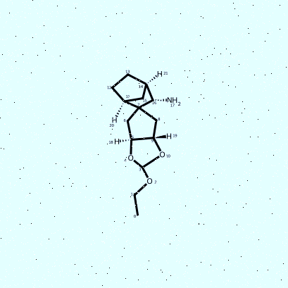 CCOC1O[C@H]2CC3(C[C@@H]2O1)[C@H]1CC[C@H](C1)[C@@H]3N